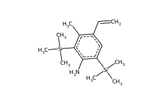 C=Cc1cc([Si](C)(C)C)c(N)c([Si](C)(C)C)c1C